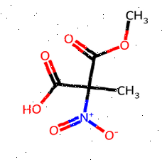 COC(=O)C(C)(C(=O)O)[N+](=O)[O-]